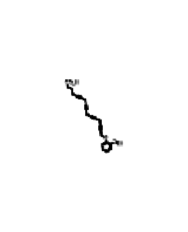 CCOc1ccccc1OCC#CCC#CCC#CCC#CCCCC(=O)O